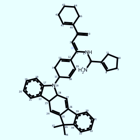 C=C(/C=C(\NC(N)C1=CCCC1)C1=CCC(N2c3ccccc3C3C=C4C(=CC32)c2ccccc2C4(C)C)C=C1)C1=CCCCC1